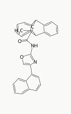 CC1(C(=O)Nc2nc(-c3cccc4ccccc34)co2)CC2c3ccccc3C1c1ccccc12